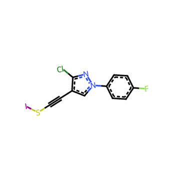 Fc1ccc(-n2cc(C#CSI)c(Cl)n2)cc1